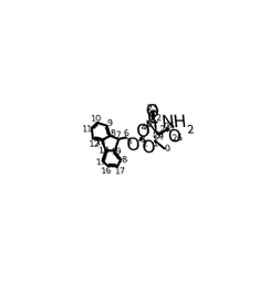 CC(OC(=O)OCC1c2ccccc2-c2ccccc21)[C@H](N=C=O)C(N)=O